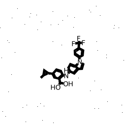 CC1CC1c1ccc(NC2C=c3ccn(-c4ccc(C(F)(F)F)cc4)c3=CC2)c(C(O)O)c1